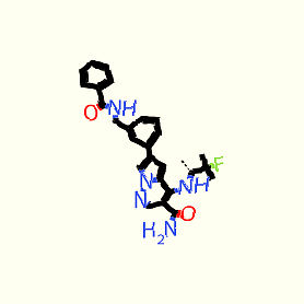 C[C@@H](Nc1c(C(N)=O)cnn2cc(-c3cccc(CNC(=O)c4ccccc4)c3)cc12)C(C)(C)F